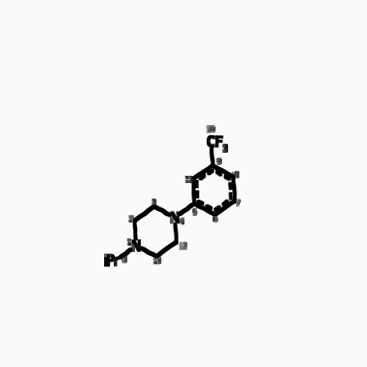 CC(C)N1CCN(c2cc[c]c(C(F)(F)F)c2)CC1